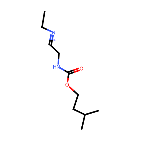 CC/N=C/CNC(=O)OCCC(C)C